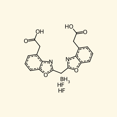 B.F.F.O=C(O)Cc1cccc2oc(Cc3nc4c(CC(=O)O)cccc4o3)nc12